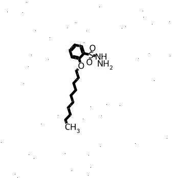 CCCCCCCCCCOc1ccccc1S(=O)(=O)NN